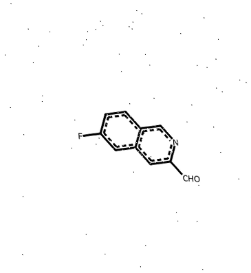 O=Cc1cc2cc(F)ccc2cn1